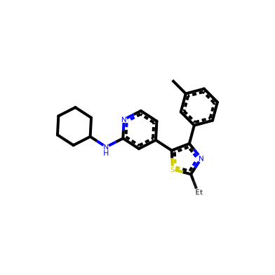 CCc1nc(-c2cccc(C)c2)c(-c2ccnc(NC3CCCCC3)c2)s1